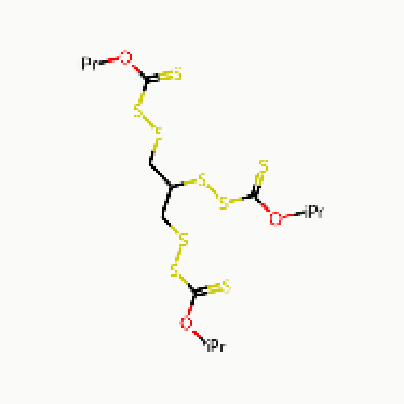 CC(C)OC(=S)SSCC(CSSC(=S)OC(C)C)SSC(=S)OC(C)C